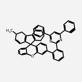 CC1C=CC2=C(C1)C1=C(CCC=C1)C21c2ccccc2Oc2cc(-c3ccccc3-c3nc(-c4c#cccc4)cc(-c4ccccc4)n3)ccc21